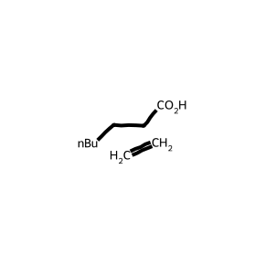 C=C.CCCCCCC(=O)O